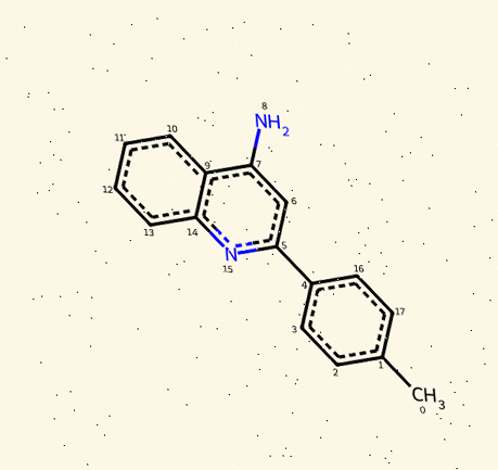 Cc1ccc(-c2cc(N)c3ccccc3n2)cc1